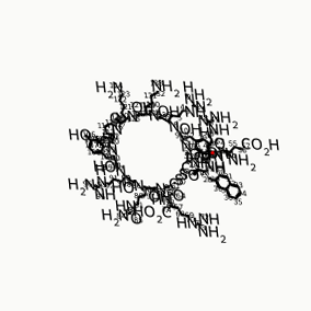 N=C(N)NCCCC1N=C(O)[C@@H](Cc2ccc(O)cc2)N=C(O)C(NC(=O)[C@@H](Cc2ccc3ccccc3c2)NC(=O)[C@H](CCCNC(=N)N)NC(=O)[C@H](N)CCC(=O)O)CSSC[C@H](C(=O)N[C@H](CCCNC(=N)N)C(=O)O)N=C(O)[C@@H](CCCNC(N)=O)N=C(O)[C@@H](CCCNC(=N)N)N=C(O)[C@@H](Cc2ccc(O)cc2)N=C(O)[C@@H]2CCCN2C(=O)C(CCCCN)N=C(O)C(CCCCN)N=C1O